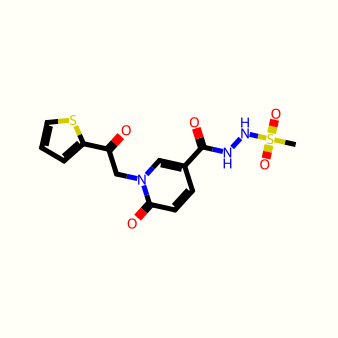 CS(=O)(=O)NNC(=O)c1ccc(=O)n(CC(=O)c2cccs2)c1